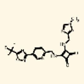 Cn1cnc(CNc2c(NCc3ccc(-c4noc(C(F)(F)F)n4)cn3)c(=O)c2=O)n1